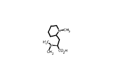 CN(C)C(CC1CCCCN1C)C(=O)O